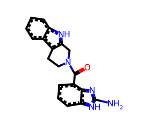 Nc1nc2c(C(=O)N3CCc4c([nH]c5ccccc45)C3)cccc2[nH]1